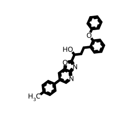 Cc1ccc(-c2cnc3nc(C(O)CCc4ccccc4Oc4ccccc4)oc3c2)cc1